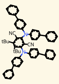 CC(C)(C)c1c(C#N)c(N(c2ccc(-c3ccccc3)cc2)c2ccc(-c3ccccc3)cc2)c(C#N)c(N(c2ccc(-c3ccccc3)cc2)c2ccc(-c3ccccc3)cc2)c1C(C)(C)C